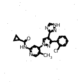 Cc1cnc(NC(=O)C2CC2)cc1-n1cc(-c2nc[nH]n2)c(-c2ccccc2Cl)n1